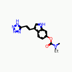 CCN(C)C(=O)Oc1ccc2c(/C=C/c3nnn[nH]3)c[nH]c2c1